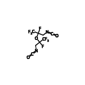 O=C=NCC(F)(OC(F)(CN=C=O)C(F)(F)F)C(F)(F)F